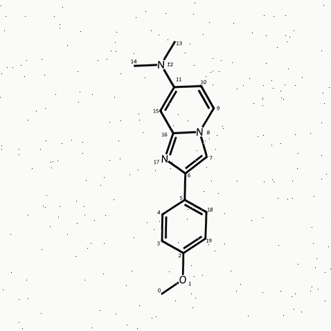 COc1ccc(-c2cn3ccc(N(C)C)cc3n2)cc1